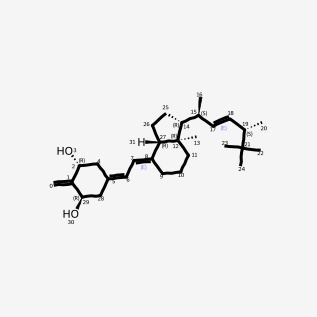 C=C1[C@H](O)CC(=C/C=C2\CCC[C@]3(C)[C@@H]([C@@H](C)/C=C/[C@H](C)C(C)(C)C)CC[C@@H]23)C[C@H]1O